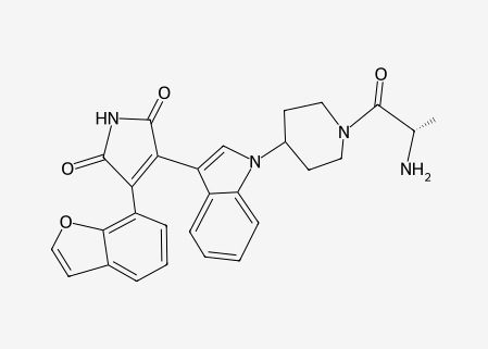 C[C@H](N)C(=O)N1CCC(n2cc(C3=C(c4cccc5ccoc45)C(=O)NC3=O)c3ccccc32)CC1